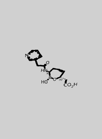 O=C(O)C[C@H]1C=CC[C@H](NC(=O)Cc2cccnc2)B(O)O1